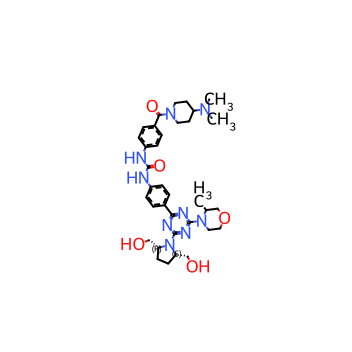 CC1COCCN1c1nc(-c2ccc(NC(=O)Nc3ccc(C(=O)N4CCC(N(C)C)CC4)cc3)cc2)nc(N2[C@H](CO)CC[C@@H]2CO)n1